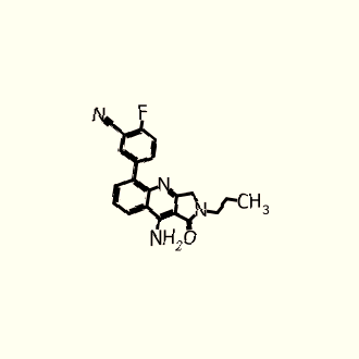 CCCN1Cc2nc3c(-c4ccc(F)c(C#N)c4)cccc3c(N)c2C1=O